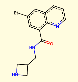 CCc1cc(C(=O)NCC2CNC2)c2ncccc2c1